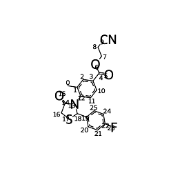 Cc1cc(C(=O)OCCC#N)ccc1N1C(=O)CSC1c1ccc(F)cc1